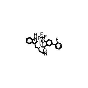 N#CCC(Cc1c[nH]c2ccccc12)NC(=O)c1cc(-c2ccccc2F)ccc1OC(F)(F)F